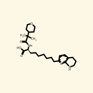 CC(C)(C(=O)N[C@@H](CCCCCCCc1ccc2c(n1)NCCC2)C(=O)O)C1CCOCC1